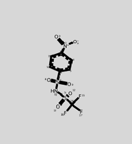 O=[N+]([O-])c1ccc(S(=O)(=O)NS(=O)(=O)C(F)(F)F)cc1